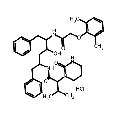 Cc1cccc(C)c1OCC(=O)NC(Cc1ccccc1)C(O)CC(Cc1ccccc1)NC(=O)C(C(C)C)N1CCCNC1=O.Cl